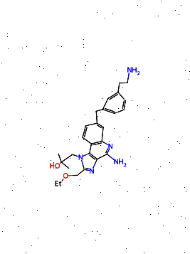 CCOCc1nc2c(N)nc3cc(Cc4cccc(CCN)c4)ccc3c2n1CC(C)(C)O